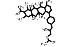 CC(O)OCC(O)CC1CCC(C2CCC(C)C3C(O)C4C(C)C5(C)C(O)C(C(C)O)C(C)CC5(C)CC4(C)CC23)CC1